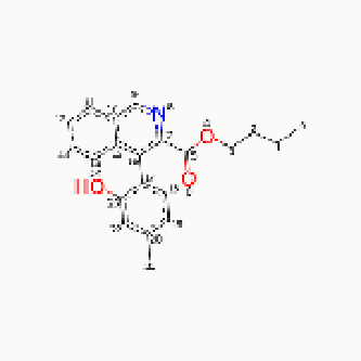 CCCCOC(=O)c1ncc2ccccc2c1-c1ccc(C)cc1O